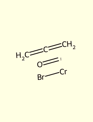 C=C=C.[C]=O.[Cr][Br]